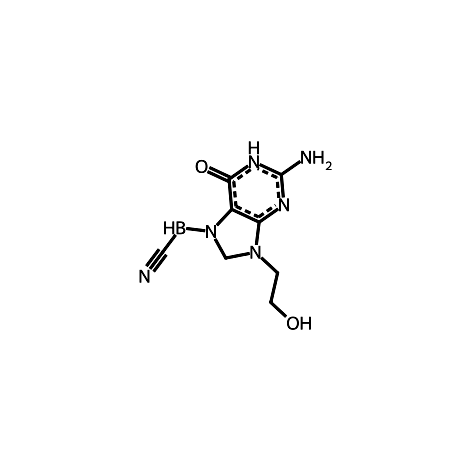 N#CBN1CN(CCO)c2nc(N)[nH]c(=O)c21